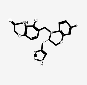 O=C1COc2ccc(CN3c4ccc(F)cc4OC[C@@H]3Cc3c[nH]nn3)c(Cl)c2N1